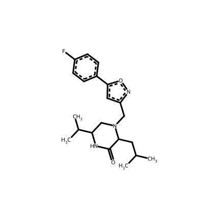 CC(C)CC1C(=O)NC(C(C)C)CN1Cc1cc(-c2ccc(F)cc2)on1